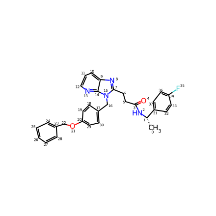 C[C@H](NC(=O)CCc1nc2cccnc2n1Cc1ccc(OCc2ccccc2)cc1)c1ccc(F)cc1